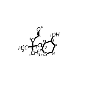 CC(C)(C)OC=O.OC1CCSCC1